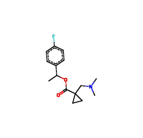 CC(OC(=O)C1(CN(C)C)CC1)c1ccc(F)cc1